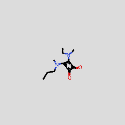 CCCN(C)c1c(N(C)CC)c(=O)c1=O